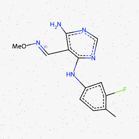 CO/N=C/c1c(N)ncnc1Nc1ccc(C)c(F)c1